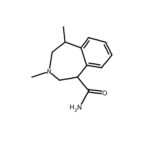 CC1CN(C)CC(C(N)=O)c2cc[c]cc21